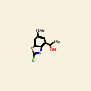 COc1cc(C(O)C(C)(C)C)c2nc(Br)sc2c1